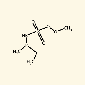 CCP(C)BS(=O)(=O)OOC